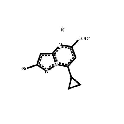 O=C([O-])c1cc(C2CC2)n2nc(Br)cc2n1.[K+]